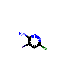 Nc1nnc(Br)cc1I